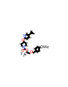 COc1ccc(COC[C@@H](OC(=O)N2CCC(Oc3ccc(C4CC4)cn3)CC2)C(F)(F)F)cc1